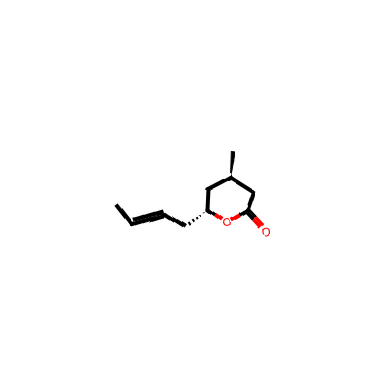 C/C=C/C[C@@H]1C[C@@H](C)CC(=O)O1